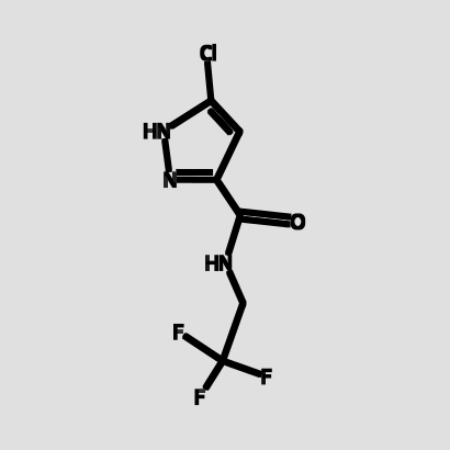 O=C(NCC(F)(F)F)c1cc(Cl)[nH]n1